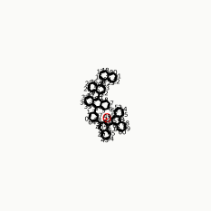 c1cc(-c2c3ccccc3c(-c3ccc(-c4cccc5ccccc45)c4ccccc34)c3ccccc23)cc(-c2cc3ccccc3c3c2oc2c4ccccc4c4ccccc4c23)c1